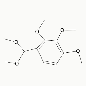 COc1ccc(C(OC)OC)c(OC)c1OC